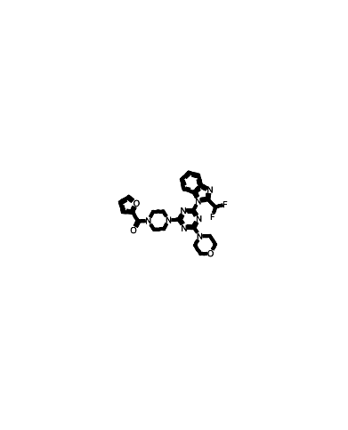 O=C(c1ccco1)N1CCN(c2nc(N3CCOCC3)nc(-n3c(C(F)F)nc4ccccc43)n2)CC1